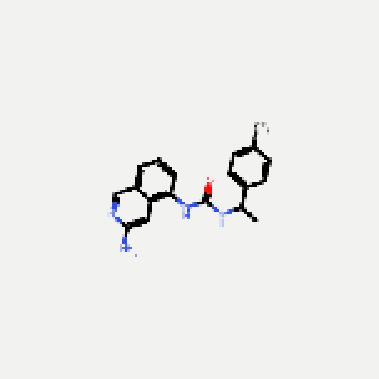 CC(NC(=O)Nc1cccc2cnc(N)cc12)c1ccc(C(F)(F)F)cc1